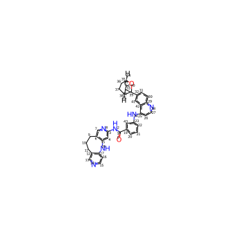 O=C(Nc1cc2c(cn1)CCCc1cnccc1N2)c1cccc(Nc2ccnc3ccc(C4C[C@@H]5CC[C@H]4CO5)cc23)c1